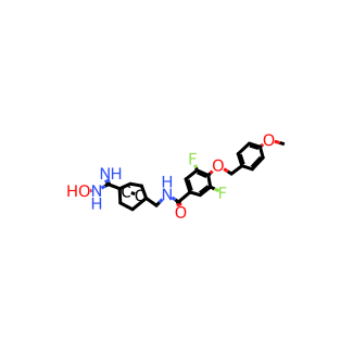 COc1ccc(COc2c(F)cc(C(=O)NCC34CCC(C(=N)NO)(CC3)CC4)cc2F)cc1